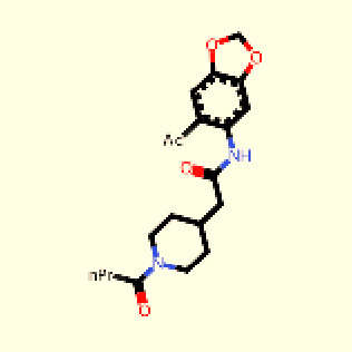 CCCC(=O)N1CCC(CC(=O)Nc2cc3c(cc2C(C)=O)OCO3)CC1